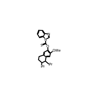 COc1cc2c(cc1OC(=S)n1cnc3ccccc31)CCC(C(C)C)C2C(C)C